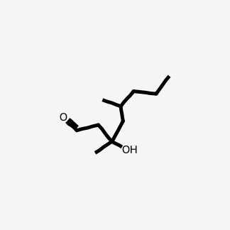 CCCC(C)CC(C)(O)CC=O